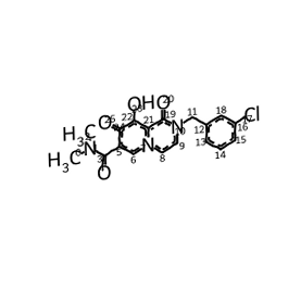 CN(C)C(=O)c1cn2ccn(Cc3cccc(Cl)c3)c(=O)c2c(O)c1=O